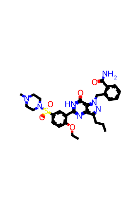 CCCc1nn(Cc2ccccc2C(N)=O)c2c(=O)[nH]c(-c3cc(S(=O)(=O)N4CCN(C)CC4)ccc3OCC)nc12